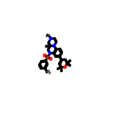 CC(=O)N1CCN2c3ccc(C4=CC(C)(C)OC(C)(C)C4)cc3N(S(=O)(=O)c3cccc(C(F)(F)F)c3)C[C@@H]2C1